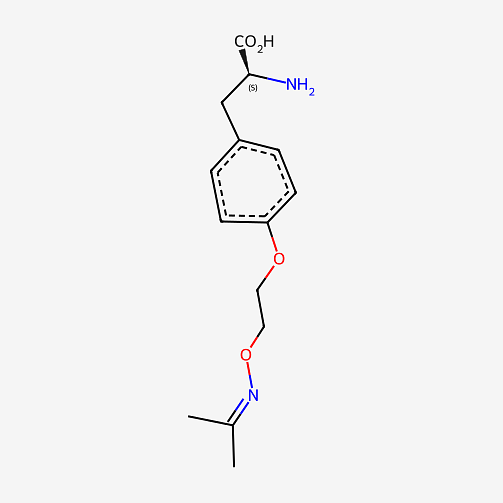 CC(C)=NOCCOc1ccc(C[C@H](N)C(=O)O)cc1